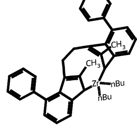 CCC[CH2][Zr]1([CH2]CCC)[CH]2C(C)=C(CCC3=C(C)[CH]1c1cccc(-c4ccccc4)c13)c1c(-c3ccccc3)cccc12